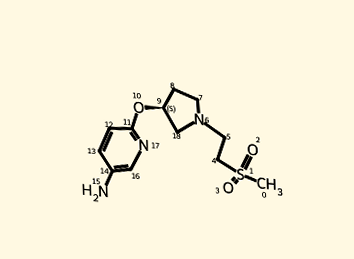 CS(=O)(=O)CCN1CC[C@H](Oc2ccc(N)cn2)C1